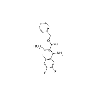 NC(c1cc(F)c(F)cc1F)[C@@H](CC(=O)O)C(=O)OCc1ccccc1